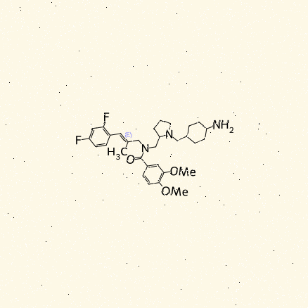 COc1ccc(C(=O)N(C/C(C)=C/c2ccc(F)cc2F)CC2CCCN2CC2CCC(N)CC2)cc1OC